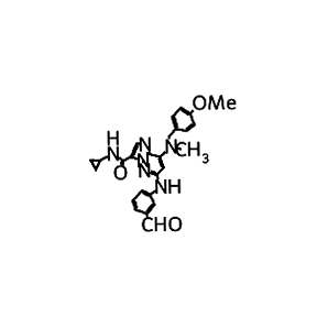 COc1ccc(CN(C)c2cc(Nc3cccc(C=O)c3)nn3c(C(=O)NC4CC4)cnc23)cc1